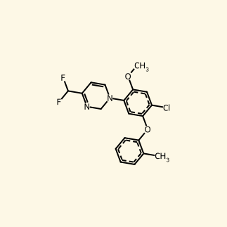 COc1cc(Cl)c(Oc2ccccc2C)cc1N1C=CC(C(F)F)=NC1